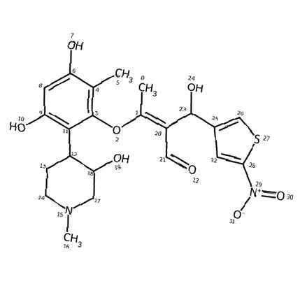 C/C(Oc1c(C)c(O)cc(O)c1C1CCN(C)CC1O)=C(/C=O)C(O)c1csc([N+](=O)[O-])c1